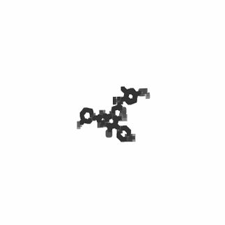 CCc1c(N2CCNCC2)c(=O)n2nc(N3CCCC(F)C3)nc2n1CC(=O)Nc1ccc(C(F)(F)F)cc1C